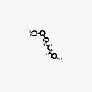 Nc1ccc(C(=O)NCC(=O)Nc2nc(-c3cccc(N4CCS(=O)(=O)CC4)c3)cs2)cc1